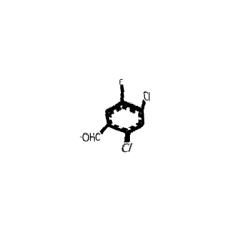 O=[C]c1cc(F)c(Cl)cc1Cl